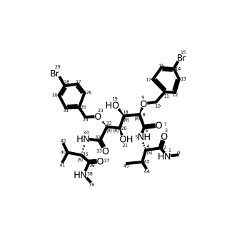 CNC(=O)[C@@H](NC(=O)[C@H](OCc1ccc(Br)cc1)[C@H](O)[C@@H](O)[C@@H](OCc1ccc(Br)cc1)C(=O)N[C@H](C(=O)NC)C(C)C)C(C)C